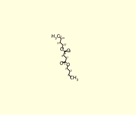 CCCCOC(=O)[CH]CC(=O)OCCCC